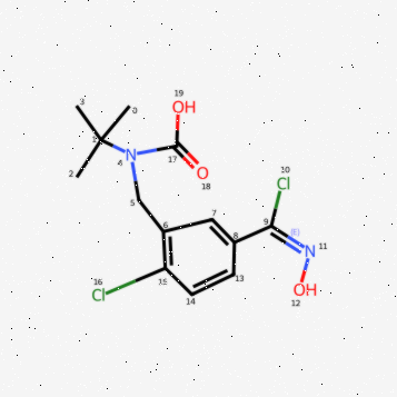 CC(C)(C)N(Cc1cc(/C(Cl)=N\O)ccc1Cl)C(=O)O